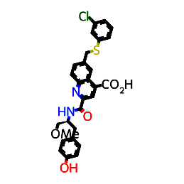 COC[C@H](Cc1ccc(O)cc1)NC(=O)c1cc(C(=O)O)c2cc(CSc3cccc(Cl)c3)ccc2n1